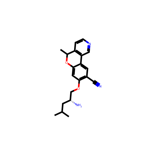 CC(C)C[C@@H](N)COc1cc2c(cc1C#N)-c1cnccc1C(C)O2